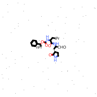 CCCC(OC(=O)NC(CC(C)C)C(=O)NC(C=O)C[C@@H]1CCNC1=O)c1ccccc1